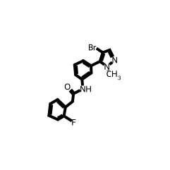 Cn1ncc(Br)c1-c1cccc(NC(=O)Cc2ccccc2F)c1